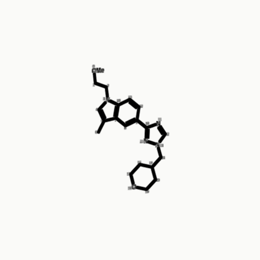 COCCn1cc(C)c2cc(-c3ncn(CC4CCOCC4)n3)ccc21